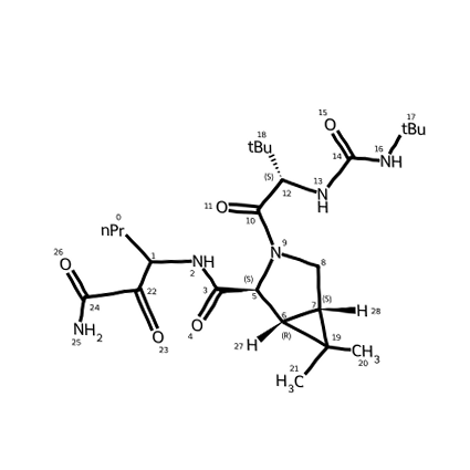 CCCC(NC(=O)[C@@H]1[C@@H]2[C@H](CN1C(=O)[C@@H](NC(=O)NC(C)(C)C)C(C)(C)C)C2(C)C)C(=O)C(N)=O